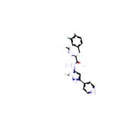 CCn1nc(-c2ccncc2)cc1NC(=O)[C@H](Cc1ccc(F)c(F)c1)NCC(=O)O